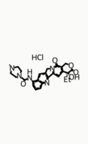 CC[C@@]1(O)C(=O)OCc2c1cc1n(c2=O)Cc2cc3c(NC(=O)N4CCN(C)CC4)cccc3nc2-1.Cl